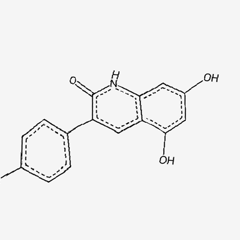 O=c1[nH]c2cc(O)cc(O)c2cc1-c1ccc(O)cc1